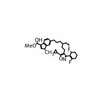 COC(O)C1=CC(C)c2cc(CCCC(CI)CCc3c(C4=C(F)CCCC4F)noc3C3CC3)ccc21